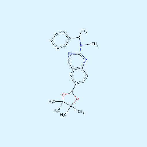 CC(c1ccccc1)N(C)c1ncc2cc(B3OC(C)(C)C(C)(C)O3)ccc2n1